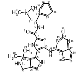 CN(C)C[C@@H](NC(=O)c1cc(Nc2nc(Cl)nc3ccsc23)c(-c2[nH]cc3c2C(C)(C)NC3)[nH]1)c1ccccc1